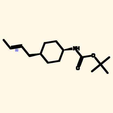 C/C=C/C[C@H]1CC[C@H](NC(=O)OC(C)(C)C)CC1